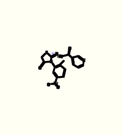 Cc1ccc([N+](=O)[O-])cc1N1C(=O)CS/C1=N/NC(=O)c1cccnc1